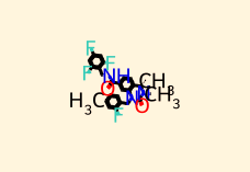 Cc1ccc(CN2C(=O)N(C)[C@@H](C)c3ccc(C(=O)NCc4c(F)cc(F)cc4F)cc32)c(F)c1